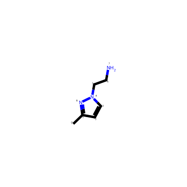 [CH2]c1ccn(CCN)n1